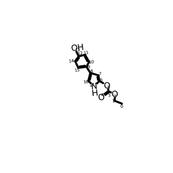 CCOC(=O)Oc1cc(-c2ccc(O)cc2)c[nH]1